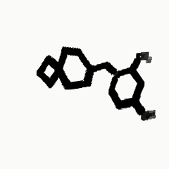 CC1CC(O)CCN1CC1CCC2(CCC2)CC1